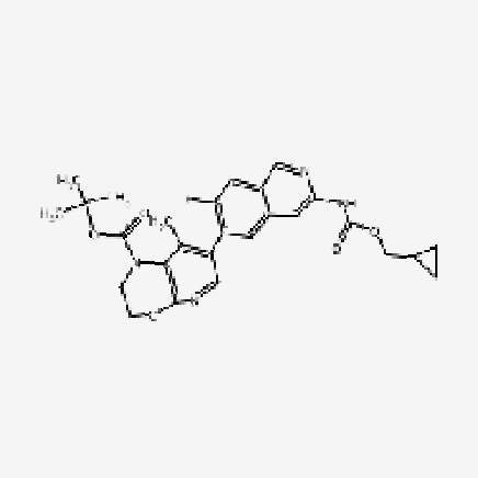 Cc1c(-c2cc3cc(NC(=O)OCC4CC4)ncc3cc2F)cnc2c1N(C(=O)OC(C)(C)C)CCO2